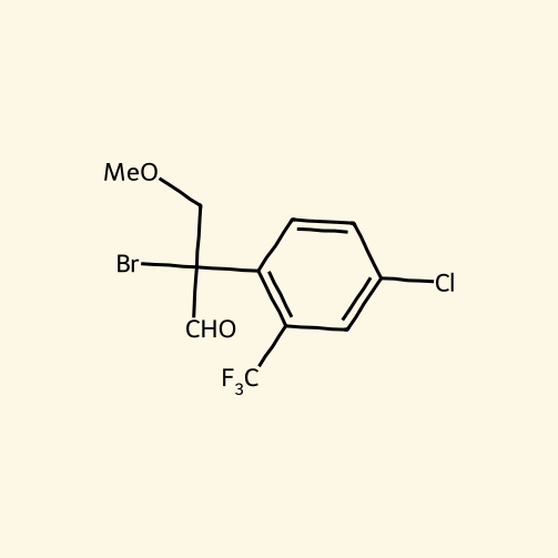 COCC(Br)(C=O)c1ccc(Cl)cc1C(F)(F)F